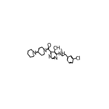 Cc1c(NCCc2cccc(Cl)c2)ncnc1C(=O)N1CCC(N2CCCCC2)CC1